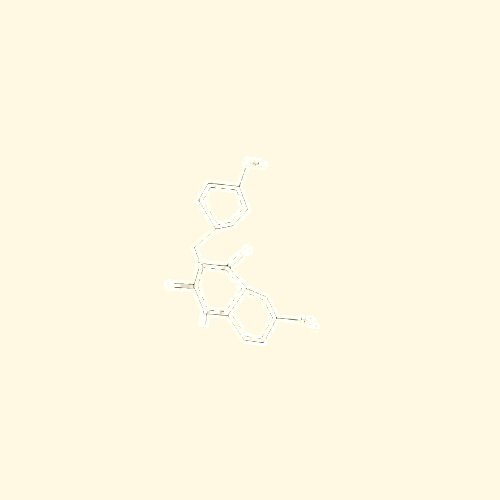 COc1ccc(Cn2c(=O)[nH]c3ccc([N+](=O)[O-])cc3c2=O)cc1